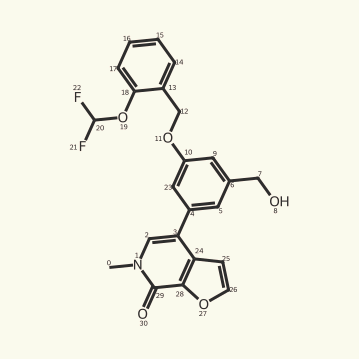 Cn1cc(-c2cc(CO)cc(OCc3ccccc3OC(F)F)c2)c2ccoc2c1=O